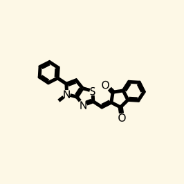 Cn1c(-c2ccccc2)cc2sc(C=C3C(=O)c4ccccc4C3=O)nc21